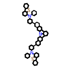 C1=CC(N(c2cccc(C3=Cc4cc5c(cc4CC3)c3cccc4c6cc7ccc(-c8cccc(N(c9ccccc9)c9cccc%10c9sc9ccccc9%10)c8)cc7cc6n5c34)c2)c2cccc3c2sc2ccccc23)=CCC1